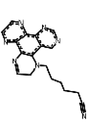 N#CCCCCCN1CC=Nc2c1c1cncnc1c1nccnc21